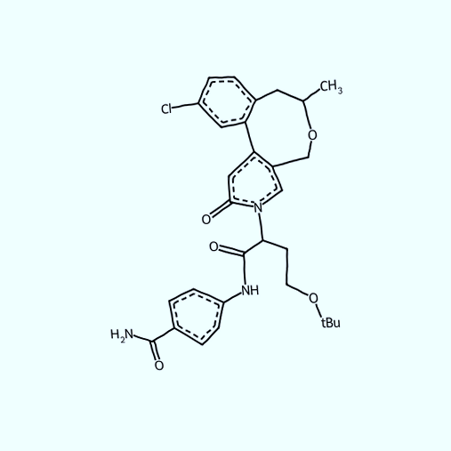 CC1Cc2ccc(Cl)cc2-c2cc(=O)n(C(CCOC(C)(C)C)C(=O)Nc3ccc(C(N)=O)cc3)cc2CO1